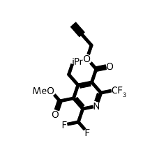 C#CCOC(=O)c1c(C(F)(F)F)nc(C(F)F)c(C(=O)OC)c1CC(C)C